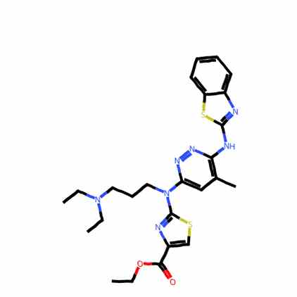 CCOC(=O)c1csc(N(CCCN(CC)CC)c2cc(C)c(Nc3nc4ccccc4s3)nn2)n1